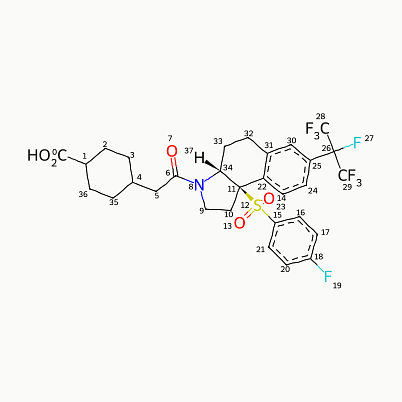 O=C(O)C1CCC(CC(=O)N2CC[C@@]3(S(=O)(=O)c4ccc(F)cc4)c4ccc(C(F)(C(F)(F)F)C(F)(F)F)cc4CC[C@@H]23)CC1